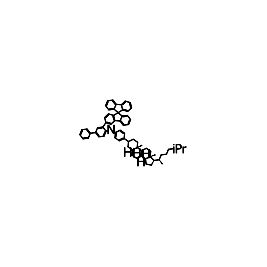 CC(C)CCC[C@@H](C)[C@H]1CC[C@H]2[C@@H]3CC[C@H]4CC(c5ccc(-n6c7ccc(-c8ccccc8)cc7c7ccc8c(c76)-c6ccccc6C86c7ccccc7-c7ccccc76)cc5)CC[C@]4(C)[C@H]3CC[C@]12C